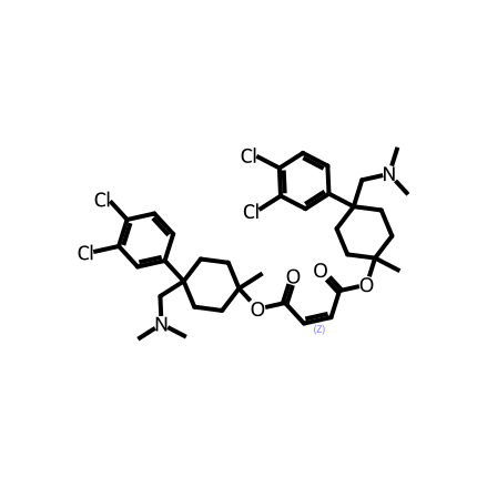 CN(C)CC1(c2ccc(Cl)c(Cl)c2)CCC(C)(OC(=O)/C=C\C(=O)OC2(C)CCC(CN(C)C)(c3ccc(Cl)c(Cl)c3)CC2)CC1